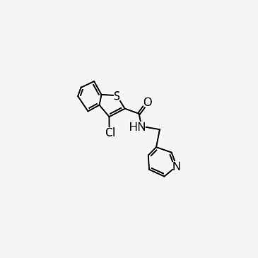 O=C(NCc1cccnc1)c1sc2ccccc2c1Cl